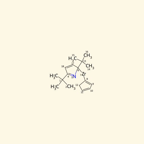 CC(C)(C)C1=N[C]([Zr][C]2=CC=CC2)(C(C)(C)C)C=C1